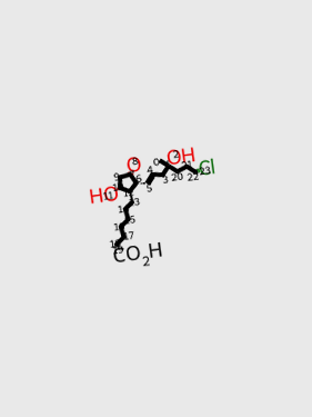 CC(O)(CC=C[C@H]1C(=O)C[C@H](O)[C@@H]1CCCCCCC(=O)O)CCCCl